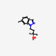 Cc1ccc2cnn(CCC(C)(C)O)c2c1